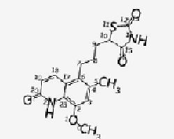 COc1cc(C)c(CCCC2SC(=O)NC2=O)c2ccc(=O)[nH]c12